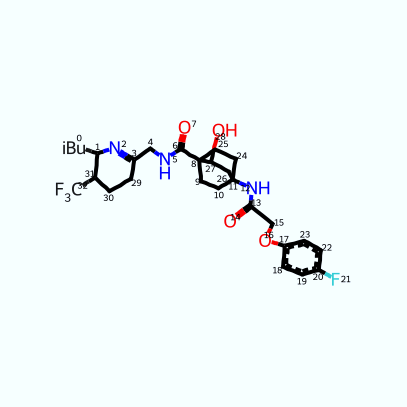 CCC(C)C1N=C(CNC(=O)C23CCC(NC(=O)COc4ccc(F)cc4)(CC2)CC3O)CCC1C(F)(F)F